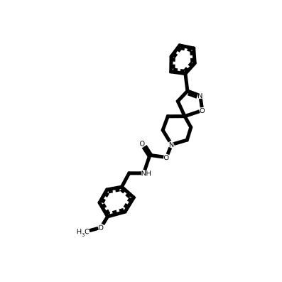 COc1ccc(CNC(=O)ON2CCC3(CC2)CC(c2ccccc2)=NO3)cc1